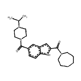 CC(C)N1CCN(C(=O)c2ccc3[nH]c(C(=O)N4CCCCCC4)cc3c2)CC1